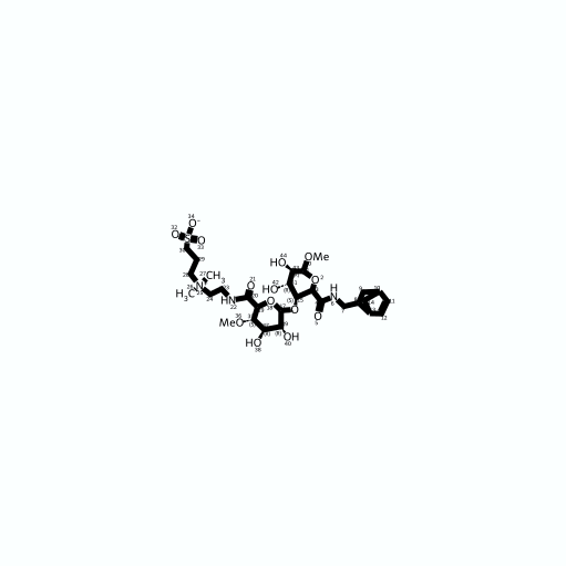 COC1OC(C(=O)NCC2CC3C=CC2C3)[C@@H](OC2OC(C(=O)NCC[N+](C)(C)CCCS(=O)(=O)[O-])[C@@H](OC)[C@H](O)[C@H]2O)[C@H](O)[C@H]1O